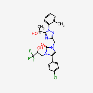 Cc1ccccc1-n1nc(Cn2cc(-c3ccc(Cl)cc3)n(CC(O)C(F)(F)F)c2=O)nc1[C@H](C)O